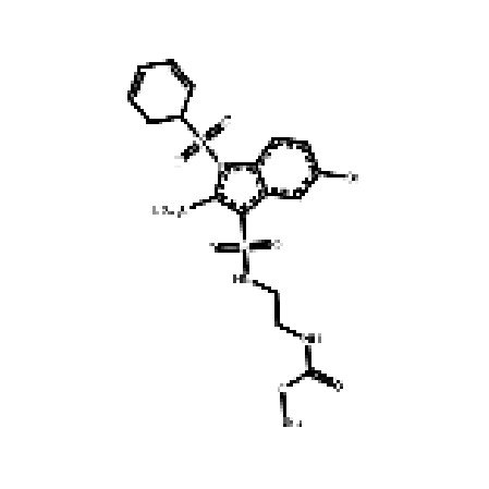 CCOC(=O)c1c(S(=O)(=O)NCCNC(=O)OC(C)(C)C)c2cc(Br)ccc2n1S(=O)(=O)C1C=CC=CC1